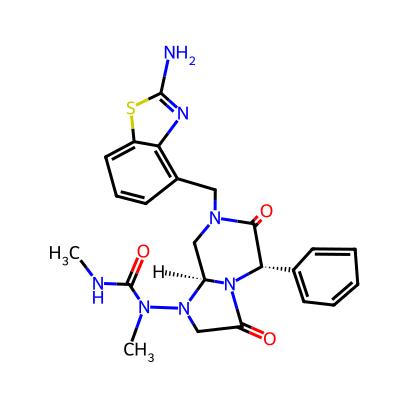 CNC(=O)N(C)N1CC(=O)N2[C@@H](c3ccccc3)C(=O)N(Cc3cccc4sc(N)nc34)C[C@@H]21